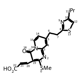 CSc1nc2cc(CCc3nc(C(C)C)cs3)ccn2c(=O)c1C=CC(=O)O